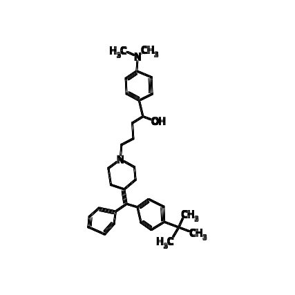 CN(C)c1ccc(C(O)CCCN2CCC(=C(c3ccccc3)c3ccc(C(C)(C)C)cc3)CC2)cc1